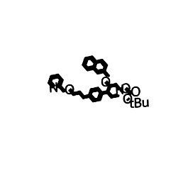 CC(C)(C)OC(=O)ON1CCC(c2ccc(CCCOCc3ccccn3)cc2)C(OCc2ccc3ccccc3c2)C1